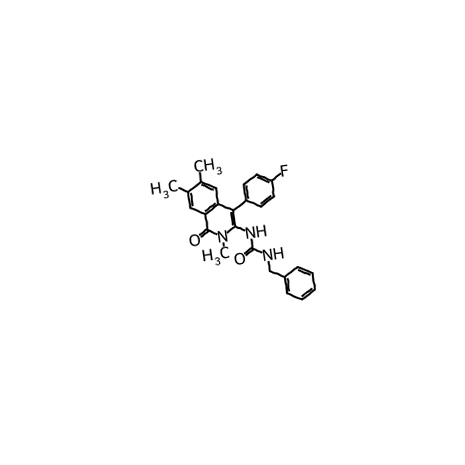 Cc1cc2c(-c3ccc(F)cc3)c(NC(=O)NCc3ccccc3)n(C)c(=O)c2cc1C